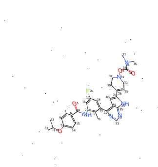 Cc1c(NC(=O)c2ccc(OC(C)C)cc2)cc(F)cc1-c1ncnc2[nH]c(C3=CCN(OC(=O)N(C)C)CC3)cc12